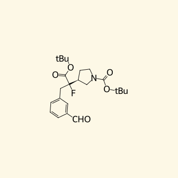 CC(C)(C)OC(=O)N1CC[C@H](C(F)(Cc2cccc(C=O)c2)C(=O)OC(C)(C)C)C1